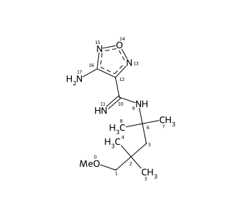 COCC(C)(C)CC(C)(C)NC(=N)c1nonc1N